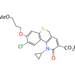 COCCCOc1cc2c(cc1Cl)-c1c(cc(C(=O)O)c(=O)n1C1CC1)CS2